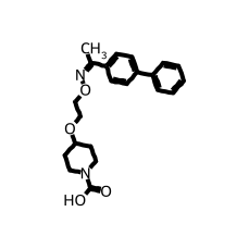 C/C(=N/OCCOC1CCN(C(=O)O)CC1)c1ccc(-c2ccccc2)cc1